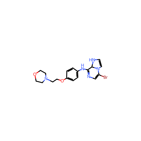 BrC1=CN=C(Nc2ccc(OCCN3CCOCC3)cc2)C2NC=CN12